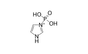 O=P(O)(O)[n+]1cc[nH]c1